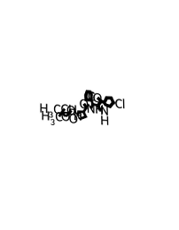 CC(C)(C)OC(=O)ON1CCC(C(=O)NC(c2ccccc2)c2c[nH]c3cc(Cl)ccc3c2=O)C1